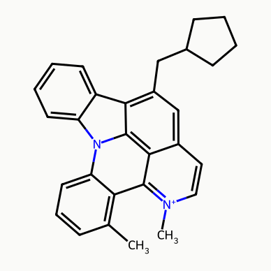 Cc1cccc2c1c1c3c(cc[n+]1C)cc(CC1CCCC1)c1c4ccccc4n2c13